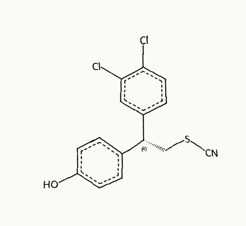 N#CSC[C@H](c1ccc(O)cc1)c1ccc(Cl)c(Cl)c1